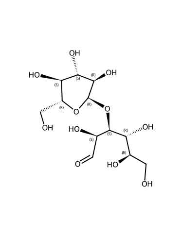 O=C[C@@H](O)[C@@H](O[C@H]1O[C@H](CO)[C@@H](O)[C@H](O)[C@H]1O)[C@H](O)[C@H](O)CO